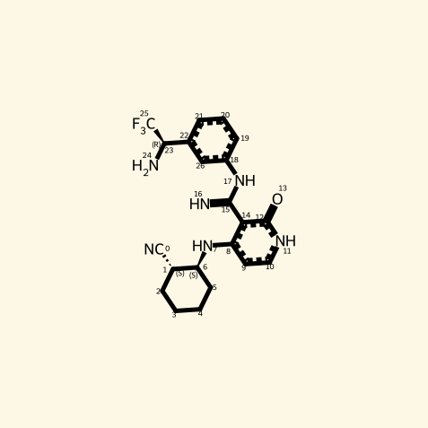 N#C[C@H]1CCCC[C@@H]1Nc1cc[nH]c(=O)c1C(=N)Nc1cccc([C@@H](N)C(F)(F)F)c1